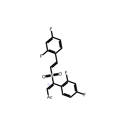 CC(=O)/C=C(\c1ccc(F)cc1F)S(=O)(=O)C=Cc1ccc(F)cc1F